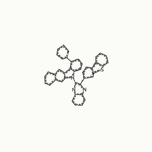 c1ccc(-c2cccc3c2c2cc4ccccc4cc2n3-c2nc3ccccc3nc2-c2ccc3c(c2)sc2ccccc23)cc1